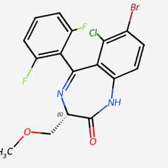 COC[C@@H]1N=C(c2c(F)cccc2F)c2c(ccc(Br)c2Cl)NC1=O